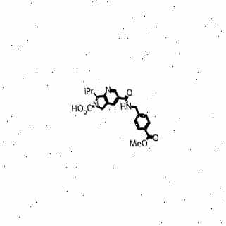 COC(=O)c1ccc(CNC(=O)c2cnc3c(c2)CN(C(=O)O)[C@H]3C(C)C)cc1